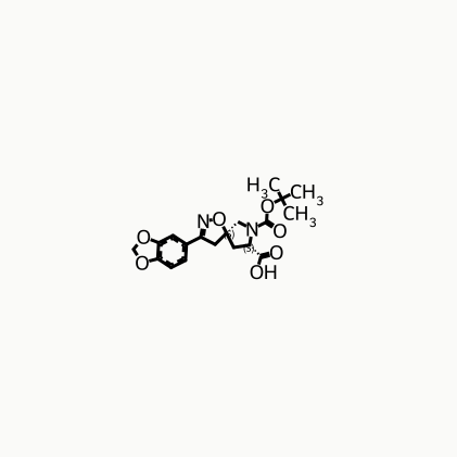 CC(C)(C)OC(=O)N1C[C@@]2(CC(c3ccc4c(c3)OCO4)=NO2)C[C@H]1C(=O)O